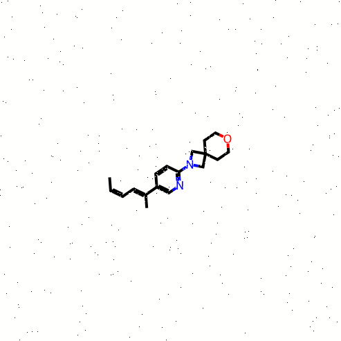 C/C=C\C=C(/C)c1ccc(N2CC3(CCOCC3)C2)nc1